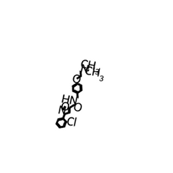 CN(C)CCOc1ccc(CNC(=O)c2cc(-c3ccccc3Cl)no2)cc1